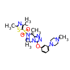 CCn1c(Oc2cccc(N3CCN(C)CC3)c2)nnc1[C@@H](C)NS(=O)(=O)c1sc(C)nc1C